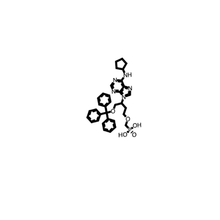 O=P(O)(O)COCCC(COC(c1ccccc1)(c1ccccc1)c1ccccc1)n1cnc2c(NC3CCCC3)ncnc21